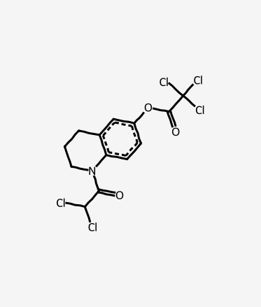 O=C(C(Cl)Cl)N1CCCc2cc(OC(=O)C(Cl)(Cl)Cl)ccc21